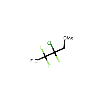 COCC(F)(Cl)C(F)(F)C(F)(F)F